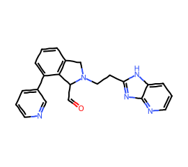 O=CC1c2c(cccc2-c2cccnc2)CN1CCc1nc2ncccc2[nH]1